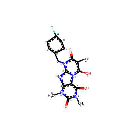 CC(C)c1c(O)n2c3c(=O)n(C)c(=O)n(C)c3nc2n(Cc2ccc(F)cc2)c1=O